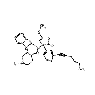 CSCC[C@@](C(=O)O)(c1cccc(C#CCCCN)c1)N(OC1CCN(C)CC1)c1nc2ccccc2[nH]1